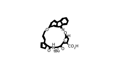 CC(C)(C)[C@@H]1NC(=O)C2=C(C=CC2)/C=C/COc2ccc3c(c2)C(=NO[C@H]2CC(C1=O)[C@H](C(=O)O)C2)c1ccccc1-3